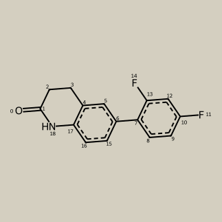 O=C1CCc2cc(-c3ccc(F)cc3F)ccc2N1